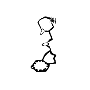 c1ccc2c(c1)CCC2OCC1CNCCO1